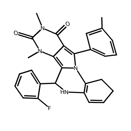 Cc1cccc(-c2c3c(=O)n(C)c(=O)n(C)c3c3n2C2=C(C=CCC2)NC3c2ccccc2F)c1